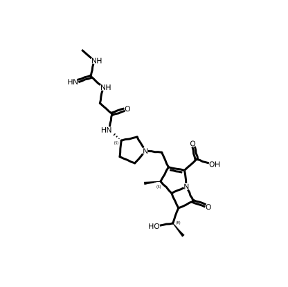 CNC(=N)NCC(=O)N[C@H]1CCN(CC2=C(C(=O)O)N3C(=O)C([C@@H](C)O)C3[C@H]2C)C1